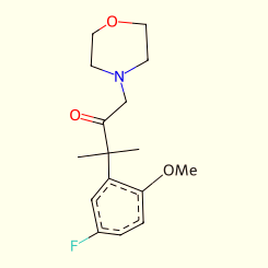 COc1ccc(F)cc1C(C)(C)C(=O)CN1CCOCC1